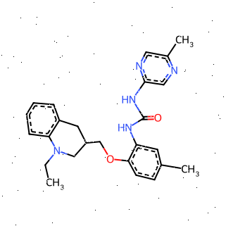 CCN1CC(COc2ccc(C)cc2NC(=O)Nc2cnc(C)cn2)Cc2ccccc21